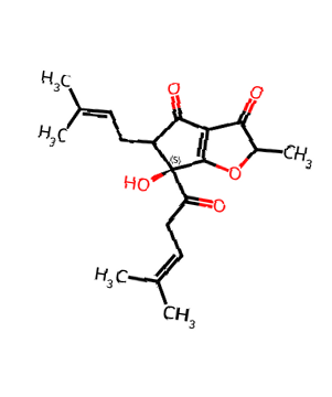 CC(C)=CCC(=O)[C@@]1(O)C2=C(C(=O)C(C)O2)C(=O)C1CC=C(C)C